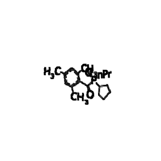 CCCP(=O)(C(=O)c1c(C)cc(C)cc1C)C1CCCC1